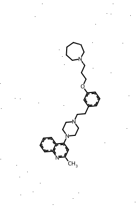 Cc1cc(N2CCN(CCc3cccc(OCCCN4CCCCCC4)c3)CC2)c2ccccc2n1